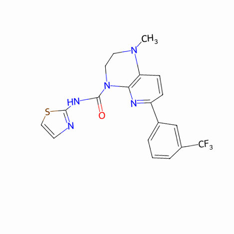 CN1CCN(C(=O)Nc2nccs2)c2nc(-c3cccc(C(F)(F)F)c3)ccc21